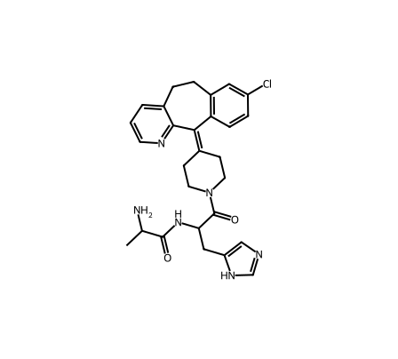 CC(N)C(=O)NC(Cc1cnc[nH]1)C(=O)N1CCC(=C2c3ccc(Cl)cc3CCc3cccnc32)CC1